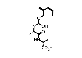 C=C(/C=C\C)COC(O)N[C@@H](C)C(=O)N[C@@H](C)C(=O)O